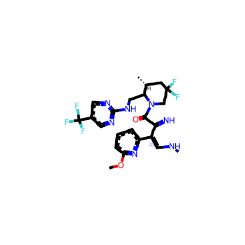 CN/C=C(\C(=N)C(=O)N1CC(F)(F)C[C@@H](C)C1CNc1ncc(C(F)(F)F)cn1)c1cccc(OC)n1